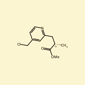 COC(=O)[C@@H](C)Cc1cc(CCl)ccn1